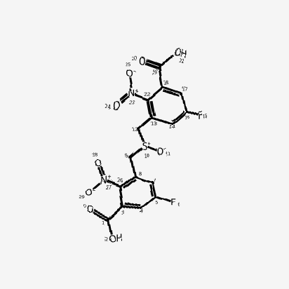 O=C(O)c1cc(F)cc(C[S+]([O-])Cc2cc(F)cc(C(=O)O)c2[N+](=O)[O-])c1[N+](=O)[O-]